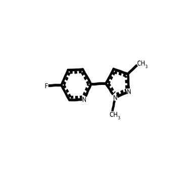 Cc1cc(-c2ccc(F)cn2)n(C)n1